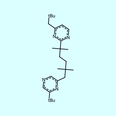 CC(C)(C)Cc1ccnc(C(C)(C)CCC(C)(C)Cc2cncc(C(C)(C)C)n2)n1